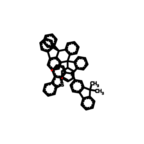 CC1(C)c2ccccc2-c2ccc(N(c3ccccc3C3(C4C=CC=CC4)c4ccccc4C4(c5ccccc5)c5ccccc5-c5cccc3c54)c3cccc4c3sc3ccccc34)cc21